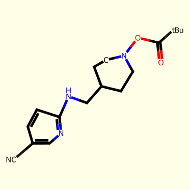 CC(C)(C)C(=O)ON1CCC(CNc2ccc(C#N)cn2)CC1